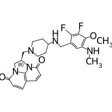 CNc1cc(CNC2CCN(C[C@@H]3Cn4c(=O)ccc5ccc(=O)n3c54)CC2)c(F)c(F)c1OC